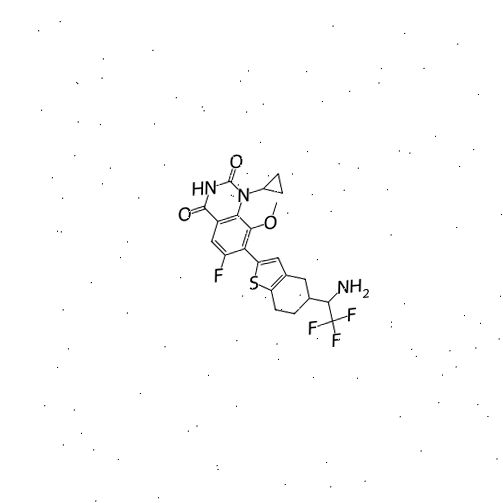 COc1c(-c2cc3c(s2)CCC(C(N)C(F)(F)F)C3)c(F)cc2c(=O)[nH]c(=O)n(C3CC3)c12